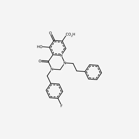 O=C(O)c1cn2c(c(O)c1=O)C(=O)N(Cc1ccc(F)cc1)CN2CCc1ccccc1